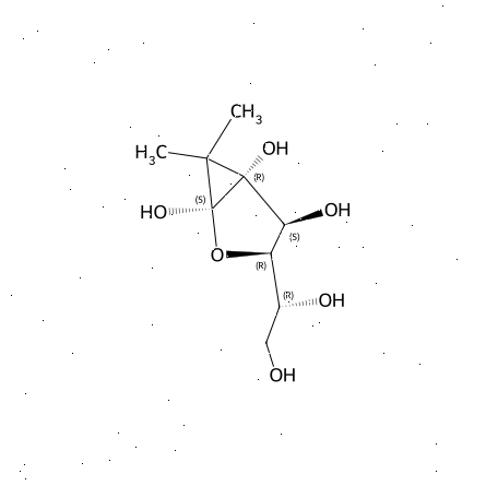 CC1(C)[C@]2(O)O[C@H]([C@H](O)CO)[C@H](O)[C@]12O